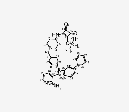 [2H]C([2H])([2H])Oc1c(NC2CCN(Cc3ccc(-n4c(-c5cccnc5N)nc5ccc(-c6ccccc6)nc54)cc3)CC2)c(=O)c1=O